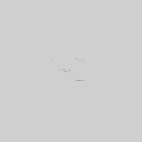 CC/C(C=O)=C(\C)Cl